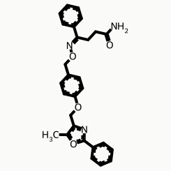 Cc1oc(-c2ccccc2)nc1COc1ccc(CO/N=C(\CCC(N)=O)c2ccccc2)cc1